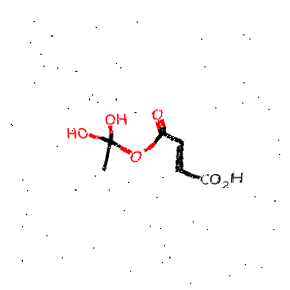 CC(O)(O)OC(=O)C=CC(=O)O